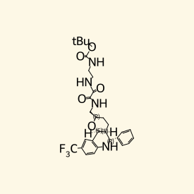 CC(C)(C)OC(=O)NCCNC(=O)C(=O)NC[C@H]1CC[C@@H]2[C@H](O1)c1cc(C(F)(F)F)ccc1N[C@H]2c1ccccc1